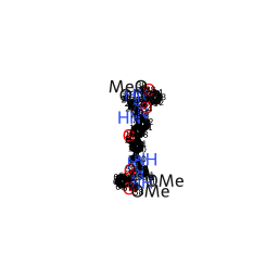 COC[C@H]1CC(c2ncc(-c3ccc4c(c3)COc3cc5c(ccc6nc(C7C[C@H](COC)CN7C(=O)[C@H](NC(=O)OC)c7ccccc7)[nH]c65)cc3-4)[nH]2)N(C(=O)[C@H](NC(=O)OC)c2ccccc2)C1